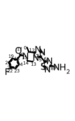 CC1c2nnc(-c3nc(N)ns3)n2CCN1C(=O)c1ccc(F)cc1